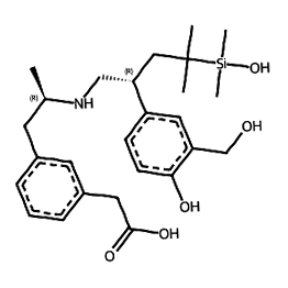 C[C@H](Cc1cccc(CC(=O)O)c1)NC[C@H](CC(C)(C)[Si](C)(C)O)c1ccc(O)c(CO)c1